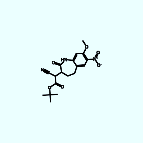 COc1cc2c(cc1[N+](=O)[O-])CCC(C(C#N)C(=O)OC(C)(C)C)C(=O)N2